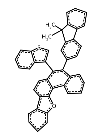 CC1(C)c2ccccc2-c2ccc(-c3c(-c4csc5ccccc45)c4ccc5c6ccccc6oc5c4c4ccccc34)cc21